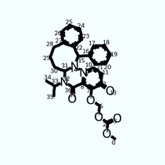 COC(=O)OCOc1c2n(ccc1=O)N1C(c3ccccc3)c3ccccc3CCCC1N(C(C)C)C2=O